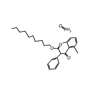 CCCCCCCCCCOC(=O)C(C(=O)c1c(C)cccc1C)c1ccccc1.O=[PH3]